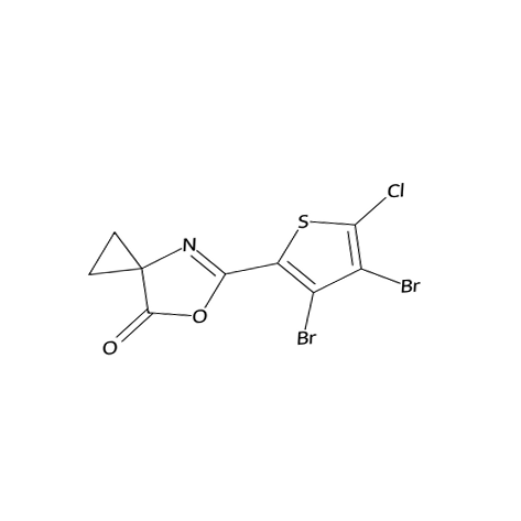 O=C1OC(c2sc(Cl)c(Br)c2Br)=NC12CC2